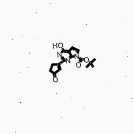 CC(C)(C)OC(=O)n1ccc2c(O)nc(C3=CC(=O)CC3)nc21